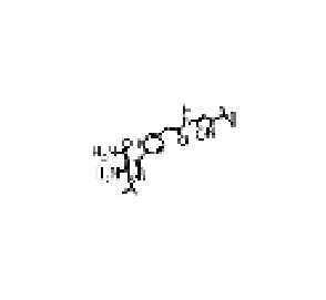 CC(C)n1nc(-c2ccc(CC(=O)Nc3cc(C4(C)CC4)no3)cn2)c(C(N)=O)c1N